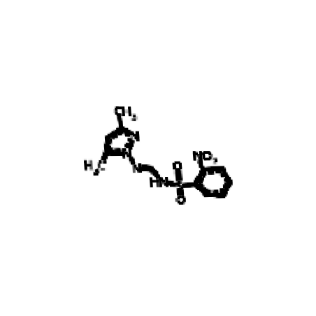 Cc1cc(C)n(/N=C/NS(=O)(=O)c2ccccc2[N+](=O)[O-])n1